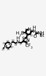 Bc1cnc(NC(=O)NCC)cc1-c1nc(C(F)(F)F)c(CNCCN2CCN(C)CC2)s1